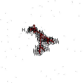 CC(C)CC(NC(=O)C(Cc1ccccc1)NC(=O)CNC(=O)OC(C)(C)C)C(=O)NCC(=O)NCCCCC(NC(=O)NC(CCC(=O)NCCOCCOCC(=O)NC(CCC(=O)NC(CCC(=O)O)C(O)O)C(=O)NC(CCC(=O)O)C(=O)O)C(=O)NCC(=O)OC(C)(C)C)C(=O)NCCOCCOCC(=O)NC(CCC(=O)NC(CCC(=O)O)C(=O)O)C(=O)NC(CCC(=O)O)C(=O)O